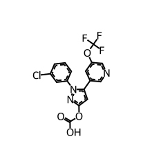 O=C(O)Oc1cc(-c2cncc(OC(F)(F)F)c2)n(-c2cccc(Cl)c2)n1